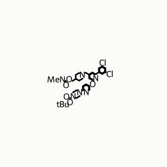 CNC(=O)OCC1CCN(Cc2cc(Oc3ccc(N4CCN(C(=O)OC(C)(C)C)CC4)nc3)nc(-c3cc(Cl)cc(Cl)c3)c2)CC1